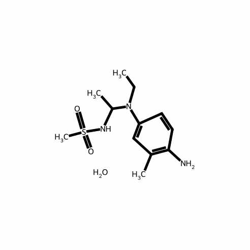 CCN(c1ccc(N)c(C)c1)C(C)NS(C)(=O)=O.O